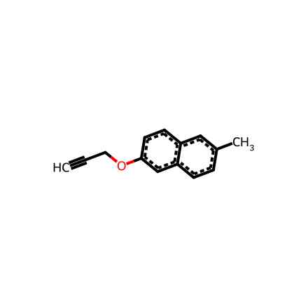 C#CCOc1ccc2cc(C)ccc2c1